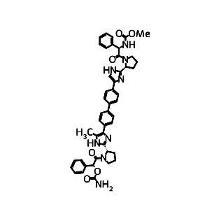 COC(=O)N[C@@H](C(=O)N1CCC[C@H]1c1nc(-c2ccc(-c3ccc(-c4nc([C@@H]5CCCN5C(=O)[C@H](OC(N)=O)c5ccccc5)[nH]c4C)cc3)cc2)c[nH]1)c1ccccc1